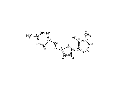 Cc1cnc(OCc2cn(-c3cccc(C)c3F)nn2)nc1